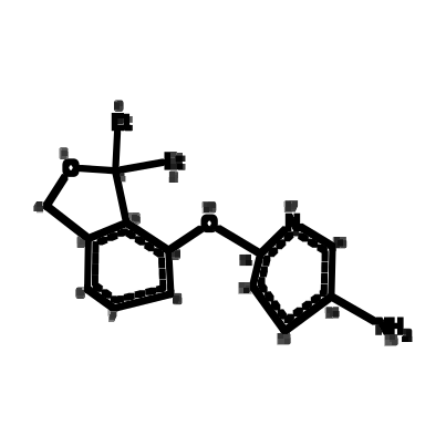 CCC1(CC)OCc2cccc(Oc3ccc(N)cn3)c21